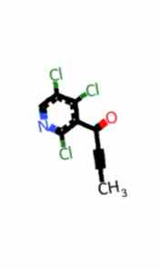 CC#CC(=O)c1c(Cl)ncc(Cl)c1Cl